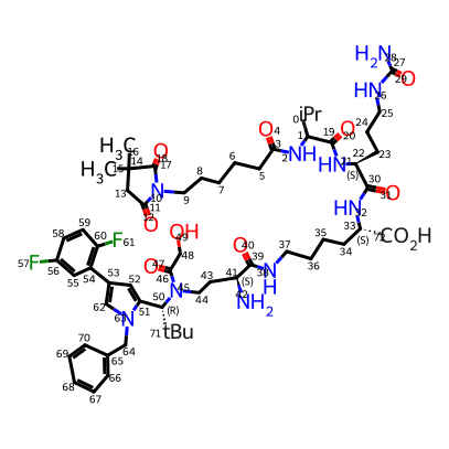 CC(C)C(NC(=O)CCCCCN1C(=O)CC(C)(C)C1=O)C(=O)N[C@@H](CCCNC(N)=O)C(=O)N[C@@H](CCCCNC(=O)[C@@H](N)CCN(C(=O)CO)[C@@H](c1cc(-c2cc(F)ccc2F)cn1Cc1ccccc1)C(C)(C)C)C(=O)O